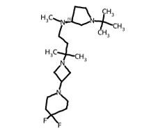 CN(CCC(C)(C)N1CC(N2CCC(F)(F)CC2)C1)[C@H]1CCN(C(C)(C)C)C1